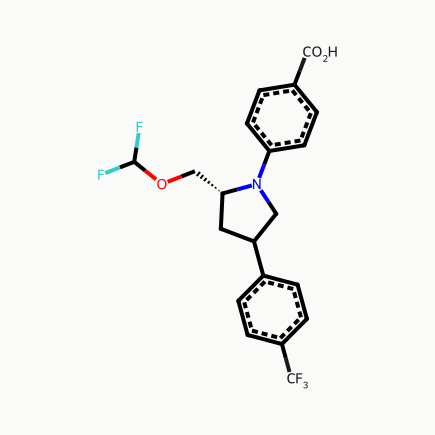 O=C(O)c1ccc(N2CC(c3ccc(C(F)(F)F)cc3)C[C@@H]2COC(F)F)cc1